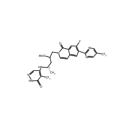 COC(C[C@H](C)Nc1cn[nH]c(=O)c1C(F)(F)F)Cn1ccc2cc(-c3ncc(C(F)(F)F)cn3)c(F)cc2c1=O